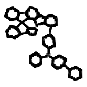 c1ccc(-c2ccc(N(c3ccccc3)c3ccc(-c4cccc5c4sc4c6c(ccc45)-c4ccccc4C64c5ccccc5-c5ccccc54)cc3)cc2)cc1